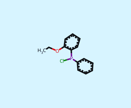 CCOc1ccccc1P(Cl)c1ccccc1